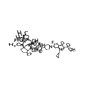 C=C[C@]1(C)C[C@@H](OC(=O)NC(=O)C2CCN(c3cc4c(cc3F)c(=O)c(C(=O)O)cn4C3CC3)CC2)[C@@]2(C)C3C(=O)CCC3(CC[C@H]2C)[C@@H](C)[C@@H]1O